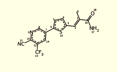 C/C(=C\c1ccc(-c2cnc(C#N)c(C(F)(F)F)c2)s1)C(N)=O